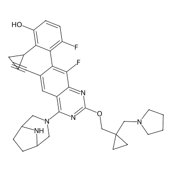 C#Cc1cc2c(N3CC4CCC(C3)N4)nc(OCC3(CN4CCCC4)CC3)nc2c(F)c1-c1c(F)ccc(O)c1C1CC1